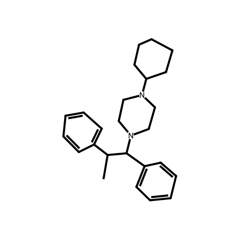 CC(c1ccccc1)C(c1ccccc1)N1CCN(C2CCCCC2)CC1